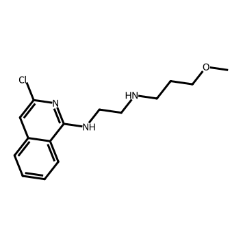 COCCCNCCNc1nc(Cl)cc2ccccc12